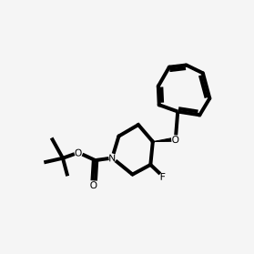 CC(C)(C)OC(=O)N1CC[C@@H](OC2=C/C=C\C=C/C=C\2)C(F)C1